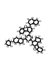 c1ccc(-c2ccc3cc(-c4nc(-c5cc6oc7ccccc7c6c6ccccc56)nc(-c5ccc(-c6cccc7ccccc67)c6oc7ccccc7c56)n4)ccc3c2)cc1